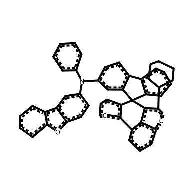 c1ccc(N(c2ccc3c(c2)C2(c4ccccc4-3)c3ccccc3-c3cccc4ccc(C5CCCCC5)c2c34)c2ccc3oc4ccccc4c3c2)cc1